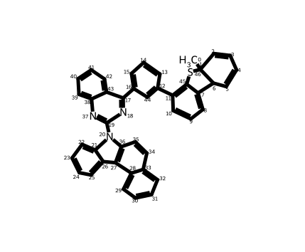 CC12C=CC=CC1c1cccc(-c3cccc(-c4nc(-n5c6ccccc6c6c7ccccc7ccc65)nc5ccccc45)c3)c1S2